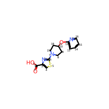 O=C(O)c1csc(N2CCC(Oc3ccccn3)CC2)n1